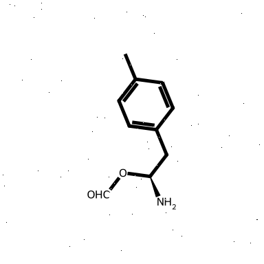 Cc1ccc(C[C@@H](N)OC=O)cc1